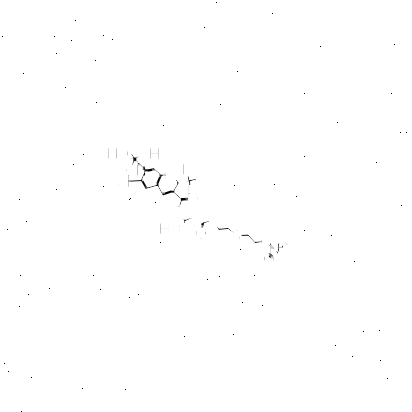 CC(OC(=O)OCCSCCO[N+](=O)[O-])OC(=O)C1=Cc2cc(Cl)c(C(C)(C)C)cc2O[C@@H]1C(F)(F)F